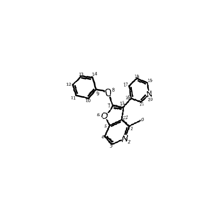 Cc1nccc2oc(Oc3ccccc3)c(-c3cccnc3)c12